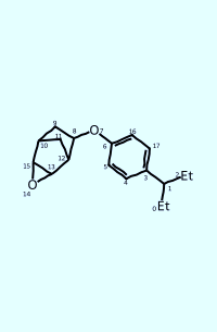 CCC(CC)c1ccc(OC2CC3CC2C2OC32)cc1